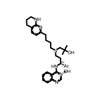 CC(=O)[C@H](CCN(CCCCc1ccc2c(n1)NCCC2)CC(C)(C)O)Nc1c2ccccc2nc[n+]1O